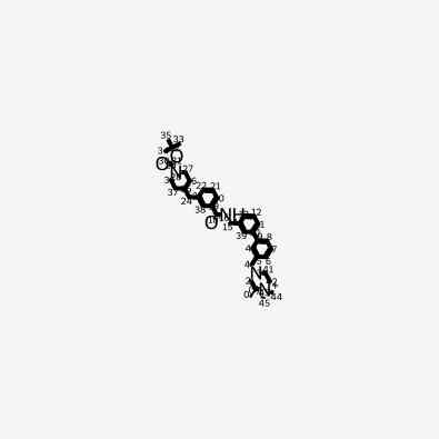 C[C@H]1CN(Cc2cccc(-c3cccc(CNC(=O)c4cccc(CC5CCN(C(=O)OC(C)(C)C)CC5)c4)c3)c2)CC[N+]1(C)C